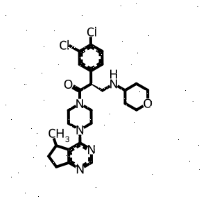 CC1CCc2ncnc(N3CCN(C(=O)[C@H](CNC4CCOCC4)c4ccc(Cl)c(Cl)c4)CC3)c21